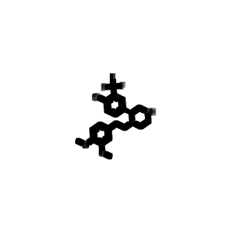 COc1ccc(CCN2CCNC[C@@H]2c2ccc(Cl)c(C(F)(F)F)c2)cc1OC